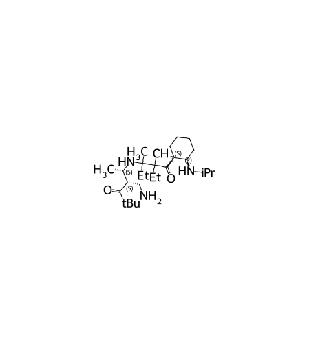 CCC(C)(N[C@@H](C)[C@H](CN)C(=O)C(C)(C)C)C(C)(CC)C(=O)[C@H]1CCCC[C@H]1NC(C)C